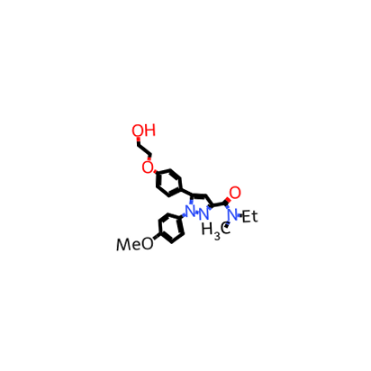 CCN(C)C(=O)c1cc(-c2ccc(OCCO)cc2)n(-c2ccc(OC)cc2)n1